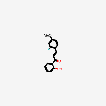 COc1ccc(C=CC(=O)c2ccccc2O)c(F)c1